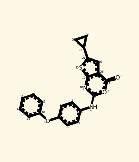 O=c1oc(Nc2ccc(Oc3ccccc3)cc2)nc2sc(C3CC3)cc12